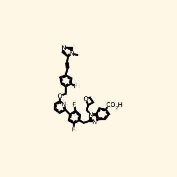 Cn1cncc1C#Cc1ccc(COc2cccc(-c3cc(F)c(Cc4nc5ccc(C(=O)O)cc5n4CC4CCO4)cc3F)n2)c(F)c1